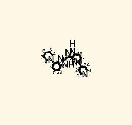 c1cc(N2CCCCC2)c2nc(-c3n[nH]c4ccc(-c5ccncc5)nc34)[nH]c2c1